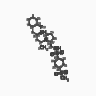 CC(C[C@H](N)Cc1ccccc1F)N1CCC[C@H]1CNS(=O)(=O)c1ccc(S(C)(=O)=O)cc1